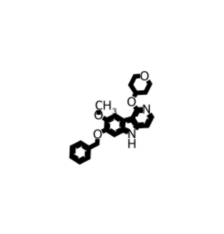 COc1cc2c(cc1OCc1ccccc1)[nH]c1ccnc(OC3CCOCC3)c12